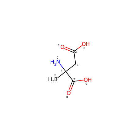 BC(N)(CC(=O)O)C(=O)O